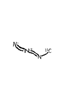 [11CH3]N=[N+]=[N-]